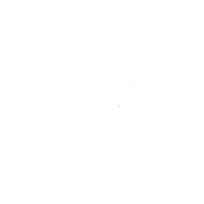 CC1(C)C(C(=O)OC(C#N)c2cccc(Oc3ccccc3)n2)C1(C)C